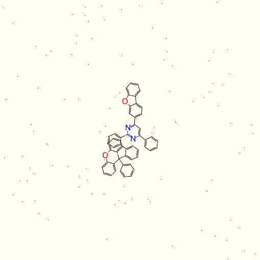 c1ccc(-c2cc(-c3ccc4c(c3)oc3ccccc34)nc(-c3ccccc3-c3ccccc3C3(c4ccccc4)c4ccccc4Oc4ccccc43)n2)cc1